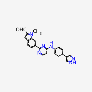 Cn1c(C=O)cc2ccc(-c3nccc(NC4=CCC(c5cn[nH]c5)C=C4)n3)cc21